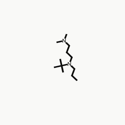 CCCN(CCCN(C)C)C(C)(C)C